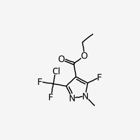 CCOC(=O)c1c(C(F)(F)Cl)nn(C)c1F